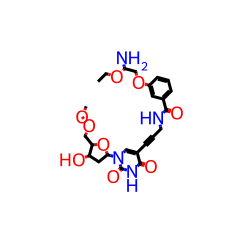 CCOC(N)COc1cccc(C(=O)NCC#Cc2cn(C3CC(O)C(COOC)O3)c(=O)[nH]c2=O)c1